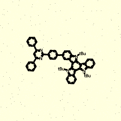 CC(C)(C)n1c2ccccc2c2c1c1c3ccccc3n(C(C)(C)C)c1c1c3cc(-c4ccc(-c5nc(-c6ccccc6)cc(-c6ccccc6)n5)cc4)ccc3n(C(C)(C)C)c21